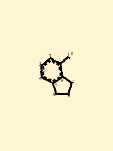 Ic1cccc2c1CCC2